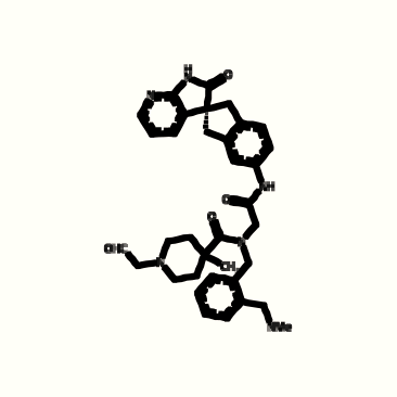 CNCc1ccccc1CN(CC(=O)Nc1ccc2c(c1)C[C@@]1(C2)C(=O)Nc2ncccc21)C(=O)C1(C)CCN(CC=O)CC1